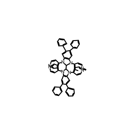 C=N/C=C\C(=C/C)N1c2cc(-c3ccccc3)c(-c3ccccc3)cc2N(c2ccncc2)C1C1N(c2ccncc2)c2cc(-c3ccccc3)c(-c3ccccc3)cc2N1c1ccncc1